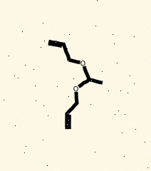 C=CCO[C](C)OCC=C